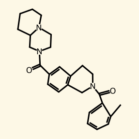 Cc1ccccc1C(=O)N1CCc2cc(C(=O)N3CCN4CCCCC4C3)ccc2C1